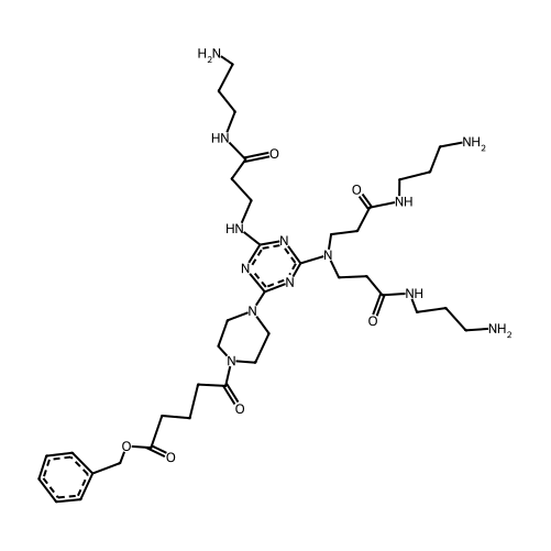 NCCCNC(=O)CCNc1nc(N(CCC(=O)NCCCN)CCC(=O)NCCCN)nc(N2CCN(C(=O)CCCC(=O)OCc3ccccc3)CC2)n1